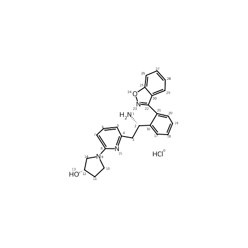 Cl.N[C@@H](Cc1cccc(N2CC[C@H](O)C2)n1)c1ccccc1-c1noc2ccccc12